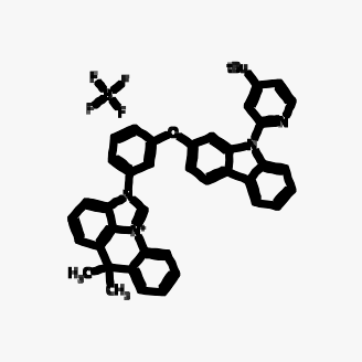 CC(C)(C)c1ccnc(-n2c3ccccc3c3ccc(Oc4cccc(-n5c[n+]6c7c(cccc75)C(C)(C)c5ccccc5-6)c4)cc32)c1.F[B-](F)(F)F